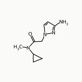 CN(C(=O)Cn1ccc(N)n1)C1CC1